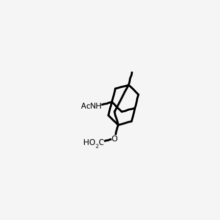 CC(=O)NC12CC3CC(C)(C1)CC(OC(=O)O)(C3)C2